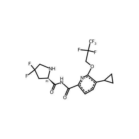 O=C(NC(=O)[C@H]1CC(F)(F)CN1)c1ccc(C2CC2)c(OCC(F)(F)C(F)(F)F)n1